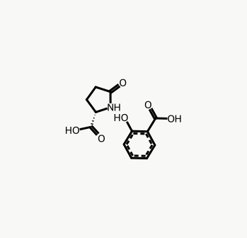 O=C(O)c1ccccc1O.O=C1CC[C@@H](C(=O)O)N1